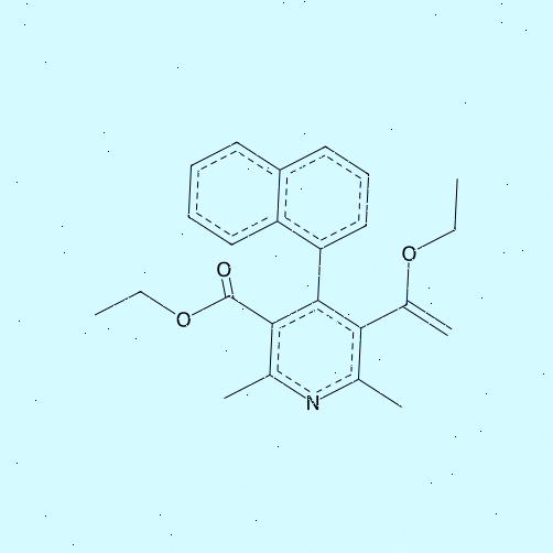 C=C(OCC)c1c(C)nc(C)c(C(=O)OCC)c1-c1cccc2ccccc12